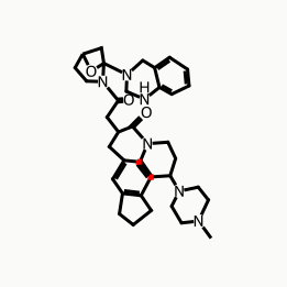 CN1CCN(C2CCN(C(=O)C(CC(=O)N3CCC4CC3(N3CNc5ccccc5C3)O4)Cc3ccc4c(c3)CCC4)CC2)CC1